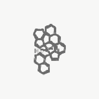 C[Si](C)(C1(c2cccc3ccccc23)C=Cc2ccccc21)C1(c2cccc3ccccc23)C=Cc2ccccc21